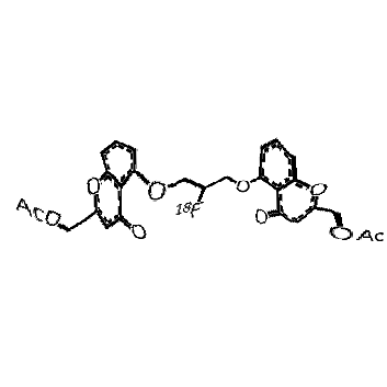 CC(=O)OCc1cc(=O)c2c(OCC([18F])COc3cccc4oc(COC(C)=O)cc(=O)c34)cccc2o1